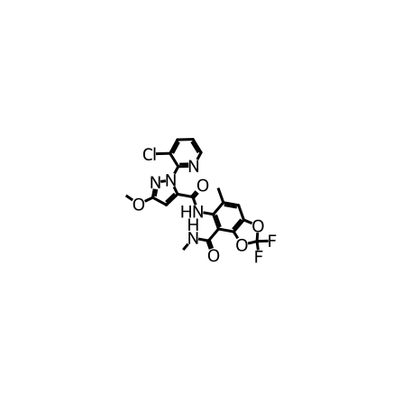 CNC(=O)c1c(NC(=O)c2cc(OC)nn2-c2ncccc2Cl)c(C)cc2c1OC(F)(F)O2